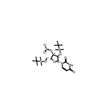 CC(C)(C)[Si](C)(C)OC[C@H]1O[C@@H](n2ccc(=O)[nH]c2=O)[C@H](O[Si](C)(C)C(C)(C)C)[C@@H]1O[N+](=O)[O-]